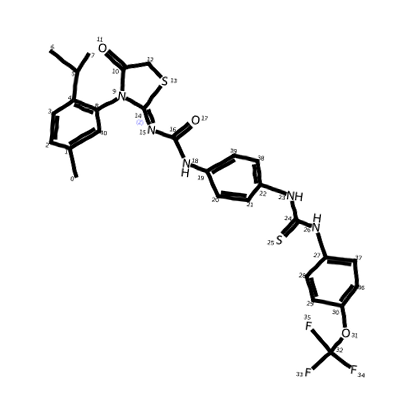 Cc1ccc(C(C)C)c(N2C(=O)CS/C2=N\C(=O)Nc2ccc(NC(=S)Nc3ccc(OC(F)(F)F)cc3)cc2)c1